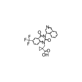 O=C(O)C1(Cn2c(=O)n(-c3cncc4ccccc34)c(=O)c3cc(C(F)(F)F)ccc32)CC1